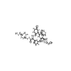 CN1CCN(CCC(=O)Nc2cc(NC3=C(N4CC(C=O)C4)NN(C)C(c4cc(Cl)ccc4F)=C3)ccn2)CC1